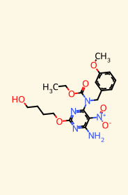 CCOC(=O)N(Cc1cccc(OC)c1)c1nc(OCCCCO)nc(N)c1[N+](=O)[O-]